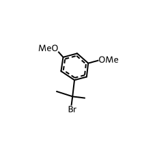 COc1cc(OC)cc(C(C)(C)Br)c1